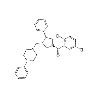 O=C(c1cc(Cl)ccc1Cl)N1CC(CN2CCC(c3ccccc3)CC2)C(c2ccccc2)C1